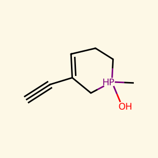 C#CC1=CCC[PH](C)(O)C1